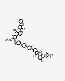 COc1ncc(-c2ccnc(N3CCc4c(sc5c4CCCC5)C3=O)c2[C@@H](C)O)cc1Nc1ccc(N2CCN(C3CCN(c4ccc5c(c4)C(=O)N(C4CCC(=O)N(COP(=O)(O)O)C4=O)C5=O)[C@@H](C)C3)C[C@@H]2C)cn1